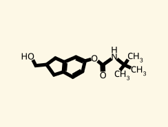 CC(C)(C)NC(=O)Oc1ccc2c(c1)CC(CO)C2